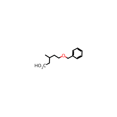 CC(CCOCc1ccccc1)CC(=O)O